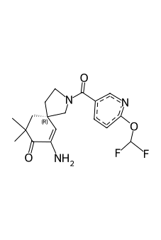 CC1(C)C[C@]2(C=C(N)C1=O)CCN(C(=O)c1ccc(OC(F)F)nc1)C2